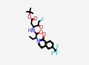 CCC(C(=O)NC(CC(=O)OC(C)(C)C)C(=O)CF)n1ccc2cc(C(F)(F)F)ccc2c1=O